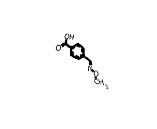 CON=Cc1ccc(C(=O)O)cc1